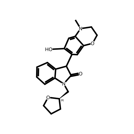 CN1CCOc2cc(C3C(=O)N(C[C@H]4CCCO4)c4ccccc43)c(O)cc21